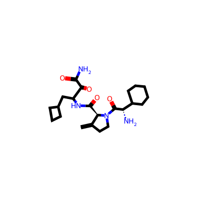 C=C1CCN(C(=O)[C@@H](N)C2CCCCC2)[C@@H]1C(=O)NC(CC1CCC1)C(=O)C(N)=O